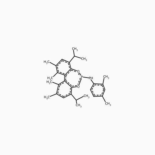 Cc1ccc(Pp2oc3c(C(C)C)cc(C)c(C)c3c3c(C)c(C)cc(C(C)C)c3o2)c(C)c1